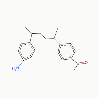 CC(=O)c1ccc(C(C)CCC(C)c2ccc(N)cc2)cc1